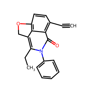 C#Cc1ccc2c3c(c(CC)n(-c4ccccc4)c(=O)c13)CO2